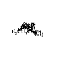 CN=Nc1ccc(O)c(N=NC2=C(C)C(CCCN(C)C)C(=O)C([n+]3ccccc3)=C2C)c1